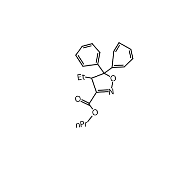 CCCOC(=O)C1=NOC(c2ccccc2)(c2ccccc2)C1CC